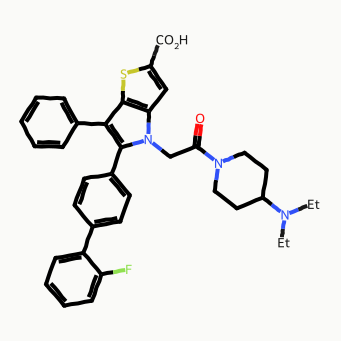 CCN(CC)C1CCN(C(=O)Cn2c(-c3ccc(-c4ccccc4F)cc3)c(-c3ccccc3)c3sc(C(=O)O)cc32)CC1